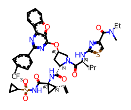 C=C[C@@H]1C[C@]1(NC(=O)[C@@H]1C[C@@H](Oc2nc(-c3ccc(C(F)(F)F)cc3)nc3c2oc2ccccc23)CN1C(=O)[C@@H](Nc1nc(C(=O)N(C)CC)cs1)C(C)C)C(=O)NS(=O)(=O)C1CC1